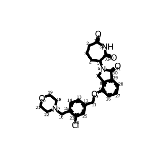 O=C1CCCC(N2Cc3c(OCc4ccc(CN5CCOCC5)c(Cl)c4)cccc3C2=O)C(=O)N1